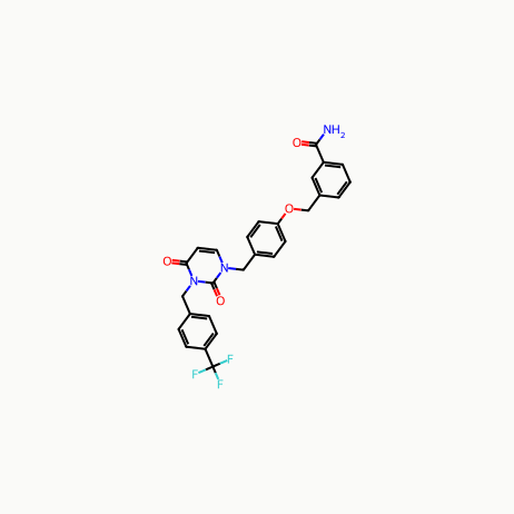 NC(=O)c1cccc(COc2ccc(Cn3ccc(=O)n(Cc4ccc(C(F)(F)F)cc4)c3=O)cc2)c1